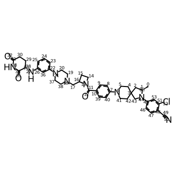 C[C@@H]1CC2(CCN(c3ccc(C(=O)N4CCC4CN4CCN(c5cccc(N[C@H]6CCC(=O)NC6=O)c5)CC4)cc3)CC2)CN1c1ccc(C#N)c(Cl)c1